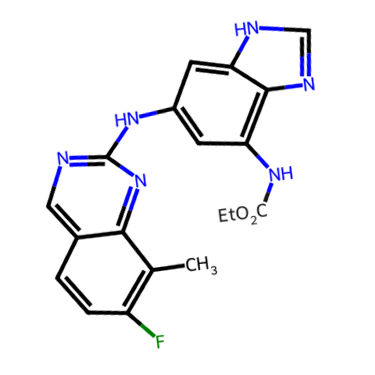 CCOC(=O)Nc1cc(Nc2ncc3ccc(F)c(C)c3n2)cc2[nH]cnc12